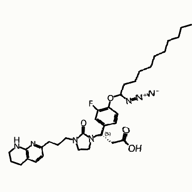 CCCCCCCCCCC(N=[N+]=[N-])Oc1ccc([C@H](CC(=O)O)N2CCN(CCCc3ccc4c(n3)NCCC4)C2=O)cc1F